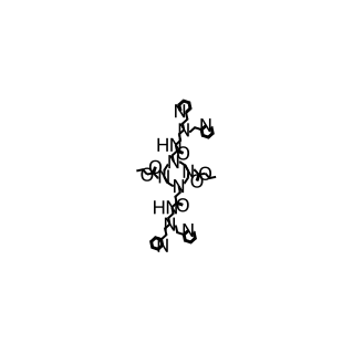 CCOC(=O)CN1CCN(CCC(=O)NCCN(CCc2ccccn2)CCc2ccccn2)CCN(CC(=O)OCC)CCN(CC(=O)NCCN(CCc2ccccn2)CCc2ccccn2)CC1